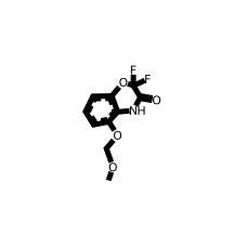 COCOc1cccc2c1NC(=O)C(F)(F)O2